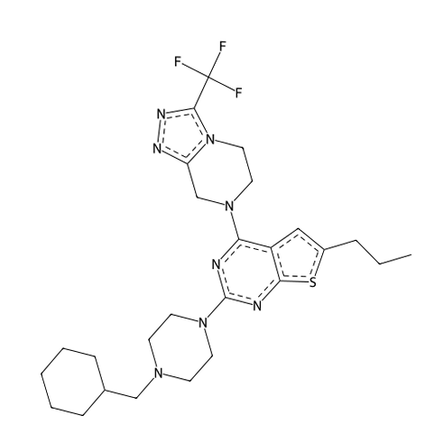 CCCc1cc2c(N3CCn4c(nnc4C(F)(F)F)C3)nc(N3CCN(CC4CCCCC4)CC3)nc2s1